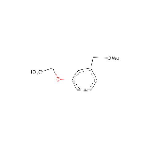 COCc1cccc(OCC(=O)O)c1